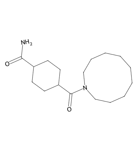 NC(=O)C1CCC(C(=O)N2CCCCCCCCC2)CC1